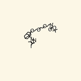 Cc1c(I)cnn1CC12CC3CC(C1)CC(OCCOCCOCCN(C)C(=O)OC(C)(C)C)(C3)C2